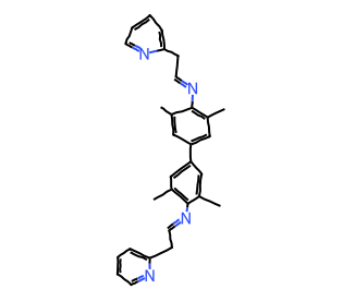 Cc1cc(-c2cc(C)c(N=CCc3ccccn3)c(C)c2)cc(C)c1N=CCc1ccccn1